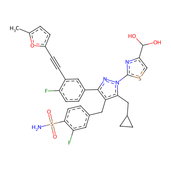 Cc1ccc(C#Cc2cc(-c3nn(-c4nc(C(O)O)cs4)c(CC4CC4)c3Cc3ccc(S(N)(=O)=O)c(F)c3)ccc2F)o1